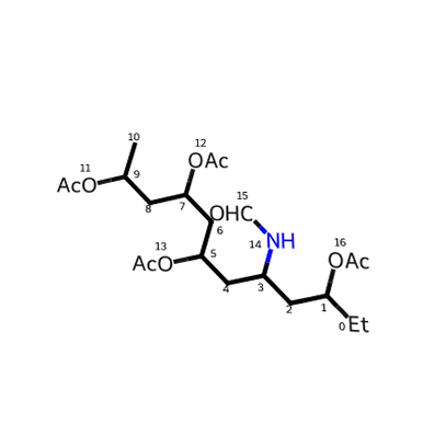 CCC(CC(CC(CC(CC(C)OC(C)=O)OC(C)=O)OC(C)=O)NC=O)OC(C)=O